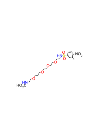 Cc1cc(S(=O)(=O)NCCOCCOCCOCCCOCCNC(=O)O)ccc1[N+](=O)[O-]